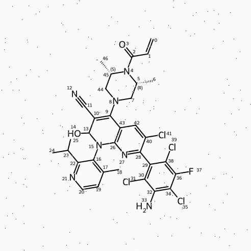 C=CC(=O)N1[C@H](C)CN(C2=C(C#N)C(O)N(c3c(C)ccnc3C(C)C)c3nc(-c4c(Cl)c(N)c(Cl)c(F)c4Cl)c(Cl)cc32)C[C@@H]1C